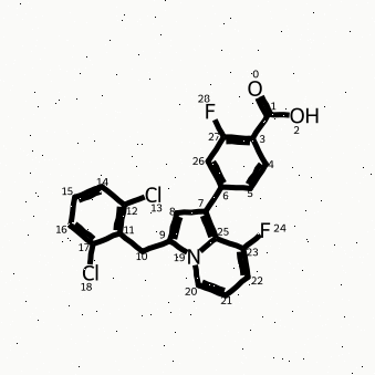 O=C(O)c1ccc(-c2cc(Cc3c(Cl)cccc3Cl)n3cccc(F)c23)cc1F